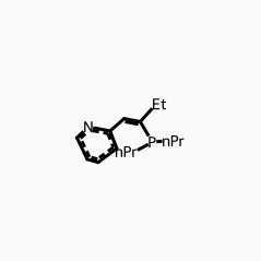 CCCP(CCC)C(=Cc1ccccn1)CC